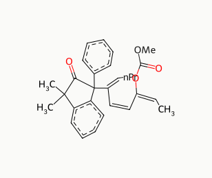 C\C=C(/C=C\C(=C/CCC)C1(c2ccccc2)C(=O)C(C)(C)c2ccccc21)OC(=O)OC